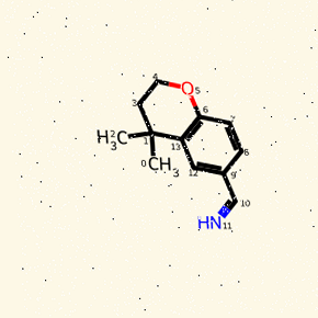 CC1(C)CCOc2ccc(C=N)cc21